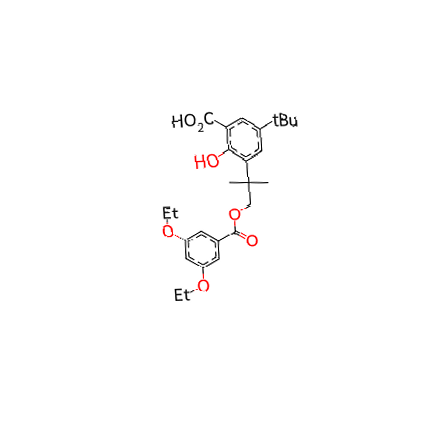 CCOc1cc(OCC)cc(C(=O)OCC(C)(C)c2cc(C(C)(C)C)cc(C(=O)O)c2O)c1